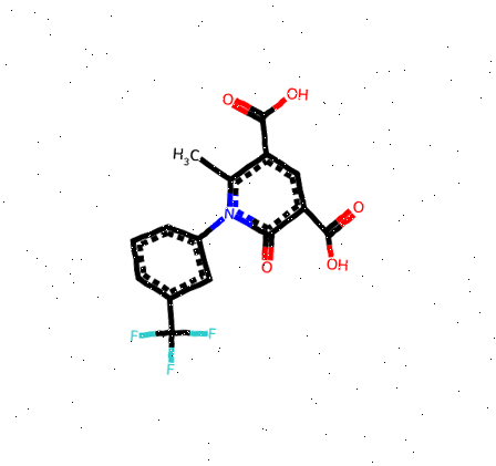 Cc1c(C(=O)O)cc(C(=O)O)c(=O)n1-c1cccc(C(F)(F)F)c1